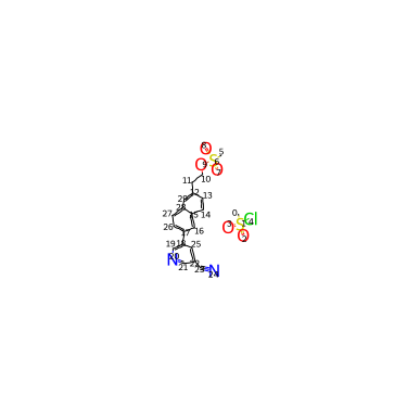 CS(=O)(=O)Cl.CS(=O)(=O)OCCc1ccc2cc(-c3cncc(C#N)c3)ccc2c1